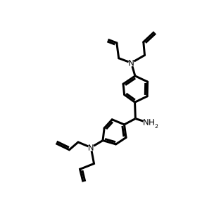 C=CCN(CC=C)c1ccc(C(N)c2ccc(N(CC=C)CC=C)cc2)cc1